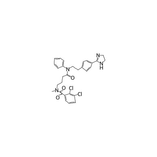 CN(CCCC(=O)N(CCc1ccc(C2=NCCN2)cc1)c1ccccc1)S(=O)(=O)c1cccc(Cl)c1Cl